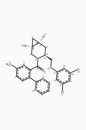 Cc1ccc(-c2ncccn2)c(C(=O)N2C[C@H]3C[C@H]3C[C@H]2COc2cc(Cl)cc(Cl)n2)n1